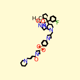 C[C@]1(OC(N)=O)CCC[C@@H]1[C@](CN1CCC1)(c1cccc(F)c1)C1CCN(CC2CN(c3ccc(S(=O)(=O)C4CN(C(=O)/C=C/CN5CCCCC5)C4)cc3)C2)CC1